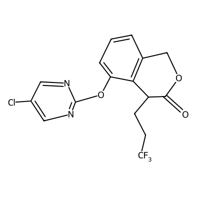 O=C1OCc2cccc(Oc3ncc(Cl)cn3)c2C1CCC(F)(F)F